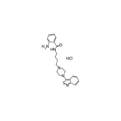 Cl.Nc1ccccc1C(=O)NCCCCN1CCN(c2snc3ccccc23)CC1